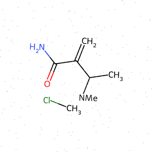 C=C(C(N)=O)C(C)NC.CCl